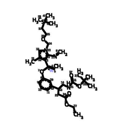 C=Nc1c(/C(=C\C)Oc2cccc(C(CNC(=O)OC(C)(C)C)CC(=O)OCC)c2)c(C)cn1COCC[Si](C)(C)C